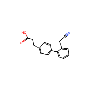 N#CCc1ccccc1-c1ccc(CCC(=O)O)cc1